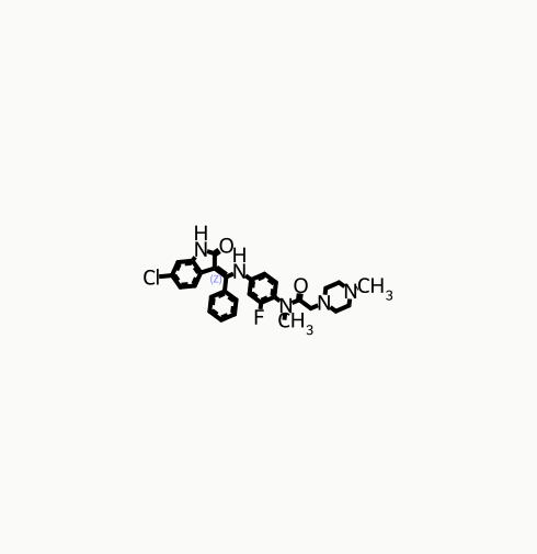 CN1CCN(CC(=O)N(C)c2ccc(N/C(=C3\C(=O)Nc4cc(Cl)ccc43)c3ccccc3)cc2F)CC1